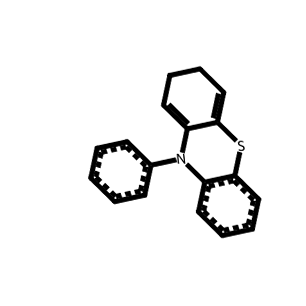 C1=C2Sc3ccccc3N(c3ccccc3)C2=CCC1